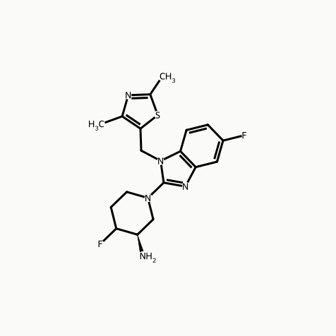 Cc1nc(C)c(Cn2c(N3CCC(F)[C@H](N)C3)nc3cc(F)ccc32)s1